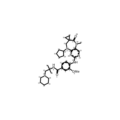 COc1cc(C(=O)NC(C)(C)CN2CCCCC2)ccc1Nc1ncc2c(n1)N(C1CCCC1)CC1(CC1)C(=O)N2C